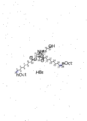 Br.CCCCCCCC/C=C\CCCCCCCC(=O)OCC(C)(OC(=O)CCCCCCC/C=C\CCCCCCCC)C(C)(N)CCCCCO